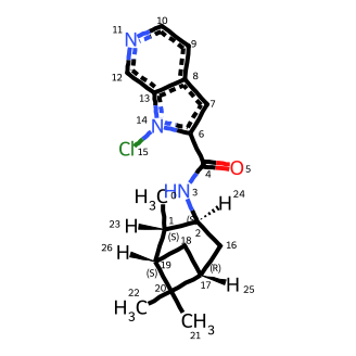 C[C@@H]1[C@@H](NC(=O)c2cc3ccncc3n2Cl)C[C@H]2C[C@@H]1C2(C)C